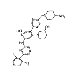 COc1cccc(F)c1-c1nccc(Nc2cc(N3CCC[C@H](O)C3)c(-c3ccc(CN4CCC(N)CC4)nc3)cn2)n1.Cl